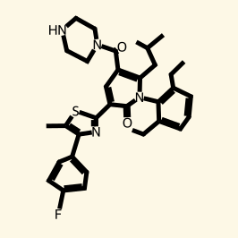 CCc1cccc(CC)c1-n1c(CC(C)C)c(C(=O)N2CCNCC2)cc(-c2nc(-c3ccc(F)cc3)c(C)s2)c1=O